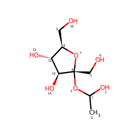 CC(O)O[C@@]1(CO)O[C@H](CO)[C@@H](O)[C@@H]1O